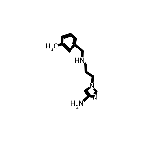 Cc1cccc(CNCCCn2cnc(N)c2)c1